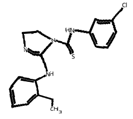 CCc1ccccc1NC1=NCCN1C(=S)Nc1cccc(Cl)c1